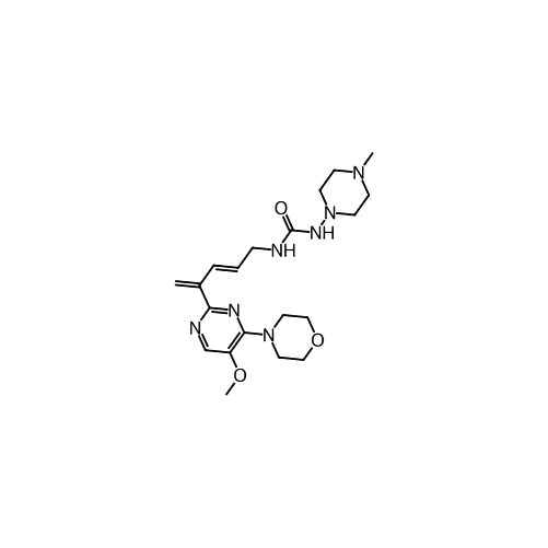 C=C(C=CCNC(=O)NN1CCN(C)CC1)c1ncc(OC)c(N2CCOCC2)n1